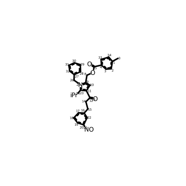 Cc1ccc(C(=O)OCc2cc(C(=O)CCc3cccc(N=O)c3)c(C(C)C)n2Cc2ccccc2)cc1